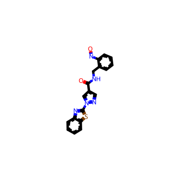 O=Nc1ccccc1CNC(=O)c1cnn(-c2nc3ccccc3s2)c1